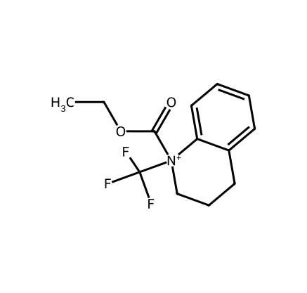 CCOC(=O)[N+]1(C(F)(F)F)CCCc2ccccc21